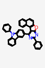 c1ccc(-c2nc(-c3ccc4c(c3)c3ccccc3n4-c3ccccc3)c3c(n2)oc2ccc4ccccc4c23)cc1